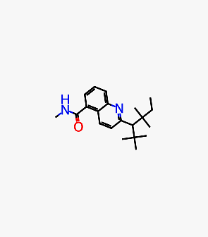 CCC(C)(C)C(c1ccc2c(C(=O)NC)cccc2n1)C(C)(C)C